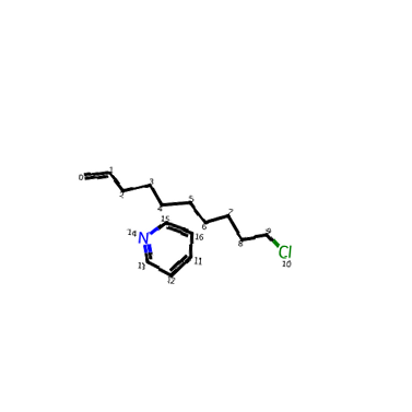 C=CCCCCCCCCCl.c1ccncc1